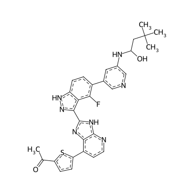 CC(=O)c1ccc(-c2ccnc3[nH]c(-c4n[nH]c5ccc(-c6cncc(NC(O)CC(C)(C)C)c6)c(F)c45)nc23)s1